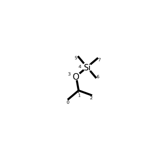 C[C](C)O[Si](C)(C)C